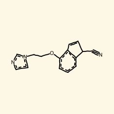 N#CC1C=Cc2c(OCCn3ccnc3)cccc21